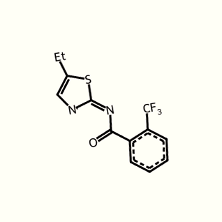 CCC1=C[N]C(=NC(=O)c2ccccc2C(F)(F)F)S1